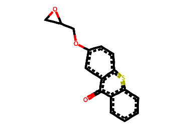 O=c1c2ccccc2sc2ccc(OCC3CO3)cc12